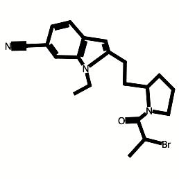 CCn1c(CCC2CCCN2C(=O)C(C)Br)cc2ccc(C#N)cc21